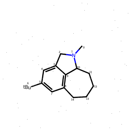 CN1Cc2cc(C(C)(C)C)cc3c2C1CCCC3